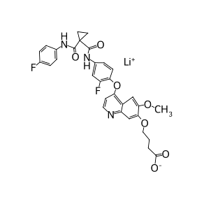 COc1cc2c(Oc3ccc(NC(=O)C4(C(=O)Nc5ccc(F)cc5)CC4)cc3F)ccnc2cc1OCCCC(=O)[O-].[Li+]